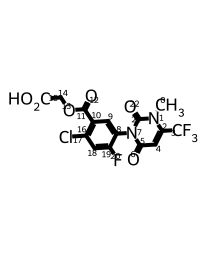 Cn1c(C(F)(F)F)cc(=O)n(-c2cc(C(=O)OCC(=O)O)c(Cl)cc2F)c1=O